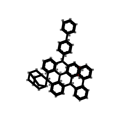 c1ccc(-c2ccccc2N2c3cccc4c3B3c5c(cccc5C5(c6cccc2c63)C2CC3CC(C2)CC5C3)N4c2ccc(-c3cccnc3)cc2)cc1